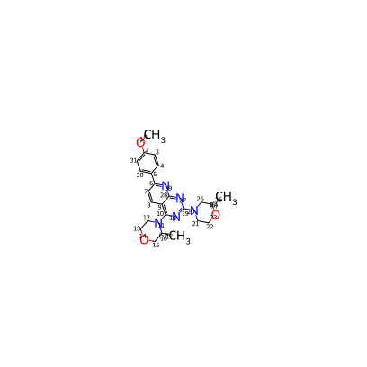 COc1ccc(-c2ccc3c(N4CCOC[C@@H]4C)nc(N4CCO[C@@H](C)C4)nc3n2)cc1